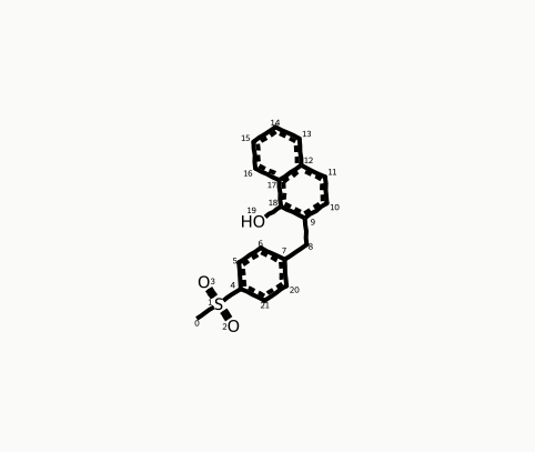 CS(=O)(=O)c1ccc(Cc2ccc3ccccc3c2O)cc1